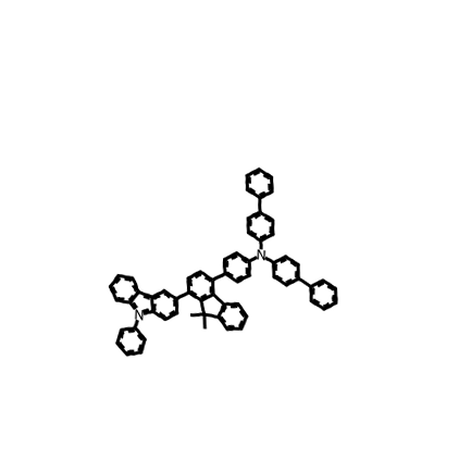 CC1(C)c2ccccc2-c2c(-c3ccc(N(c4ccc(-c5ccccc5)cc4)c4ccc(-c5ccccc5)cc4)cc3)ccc(-c3ccc4c(c3)c3ccccc3n4-c3ccccc3)c21